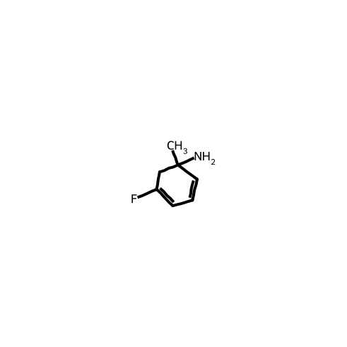 CC1(N)C=CC=C(F)C1